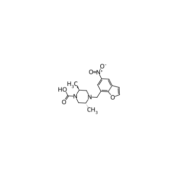 C[C@@H]1CN(C(=O)O)[C@@H](C)CN1Cc1cc([N+](=O)[O-])cc2ccoc12